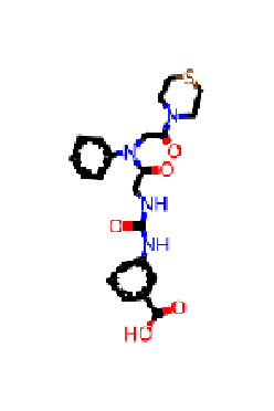 O=C(NCC(=O)N(CC(=O)N1CCSCC1)c1ccccc1)Nc1cccc(C(=O)O)c1